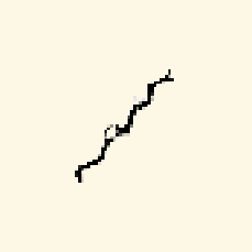 CCCOC/C=C/CI